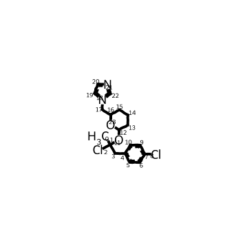 CC(Cl)(Cc1ccc(Cl)cc1)OC1CCCC(Cn2ccnc2)O1